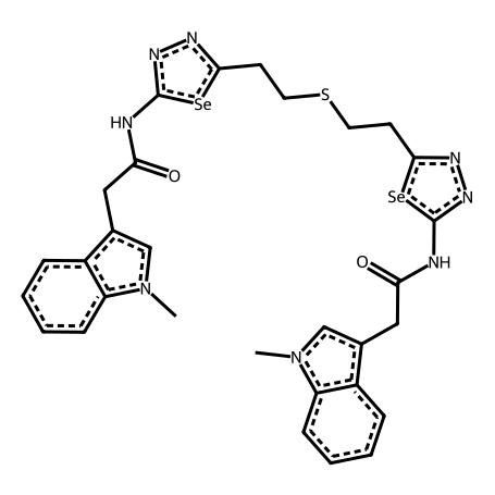 Cn1cc(CC(=O)Nc2nnc(CCSCCc3nnc(NC(=O)Cc4cn(C)c5ccccc45)[se]3)[se]2)c2ccccc21